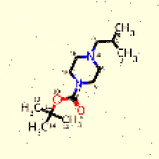 CC(C)CN1CCN(C(=O)OC(C)(C)C)CC1